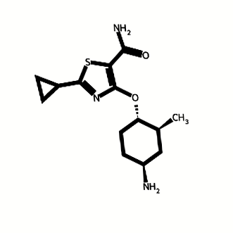 C[C@H]1C[C@@H](N)CC[C@@H]1Oc1nc(C2CC2)sc1C(N)=O